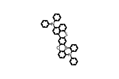 c1ccc(N2c3ccccc3B3c4cc5c(cc4Oc4cccc2c43)-c2ccc(N(c3ccccc3)c3ccccc3)c3cccc(c23)S5)cc1